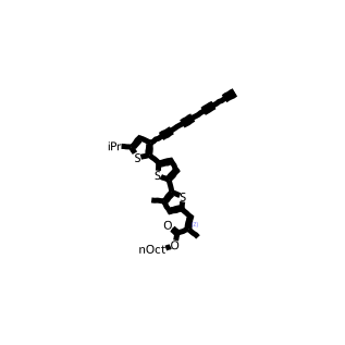 C#CC#CC#CC#Cc1cc(C(C)C)sc1-c1ccc(-c2sc(/C=C(/C)C(=O)OCCCCCCCC)cc2C)s1